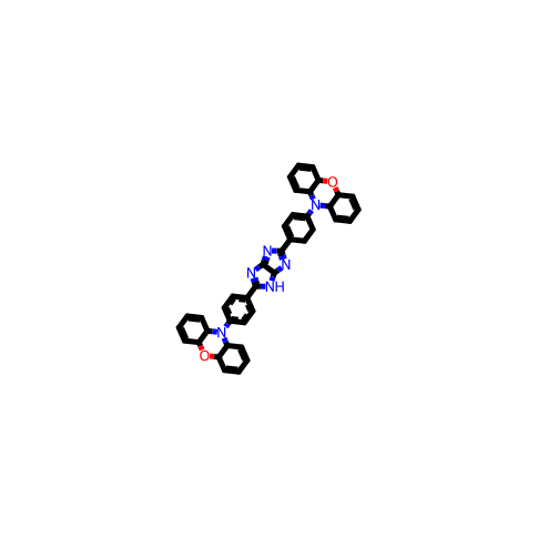 C1=CC2OC3C=CC=CC3N(C3=CC=C(C4=NC5NC(c6ccc(N7C8C=CC=CC8OC8C=CC=CC87)cc6)=NC5=N4)CC3)C2C=C1